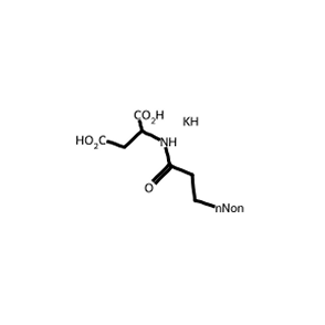 CCCCCCCCCCCC(=O)NC(CC(=O)O)C(=O)O.[KH]